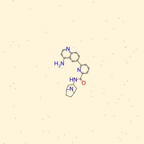 CN1C2CCC1CC(NC(=O)c1cccc(-c3ccc4nccc(N)c4c3)n1)C2